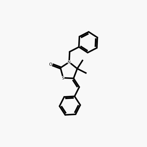 CC1(C)/C(=C/c2ccccc2)SC(=O)N1Cc1ccccc1